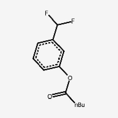 CCCCC(=O)Oc1cccc(C(F)F)c1